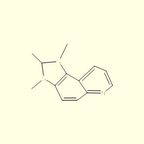 CC1N(C)c2ccc3ncccc3c2N1C